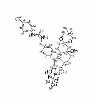 C=C(NCc1ccc([C@H]2CC3(C)C(CC[C@@]3(O)C(F)(F)C(F)(F)F)C3CCC4(O)CC5(CCC4=C32)OCC(C)(C)CO5)cc1)Nc1ccc(Cl)cc1